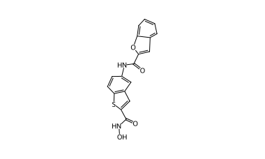 O=C(Nc1ccc2sc(C(=O)NO)cc2c1)c1cc2ccccc2o1